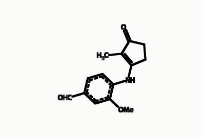 COc1cc(C=O)ccc1NC1=C(C)C(=O)CC1